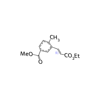 CCOC(=O)/C=C/c1cc(C(=O)OC)ccc1C